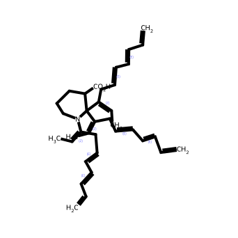 C=C/C=C/C=C/C/C(=C/C)N1CCCC(C(=O)O)C1(/C(=C\C)C/C=C/C=C/C=C)/C(=C\C)C/C=C/C=C/C=C